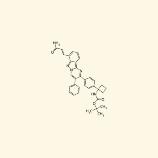 CC(C)(C)OC(=O)NC1(c2ccc(-c3nc4c5cccc(C=CC(N)=O)c5nn4cc3-c3ccccc3)cc2)CCC1